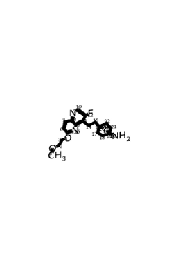 COCCOc1ccc2ncc(F)c(CCC34CCC(N)(CC3)CO4)c2n1